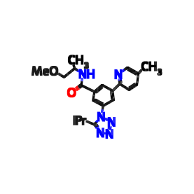 COCC(C)NC(=O)c1cc(-c2ccc(C)cn2)cc(-n2nnnc2C(C)C)c1